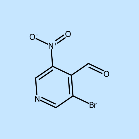 O=Cc1c(Br)cncc1[N+](=O)[O-]